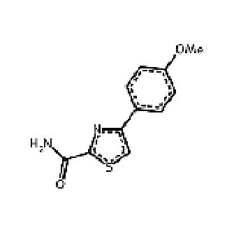 COc1ccc(-c2csc(C(N)=O)n2)cc1